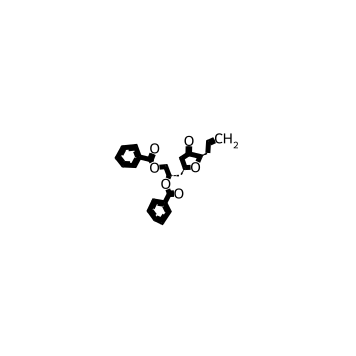 C=CC[C@@H]1O[C@H](C[C@@H](COC(=O)c2ccccc2)OC(=O)c2ccccc2)CC1=O